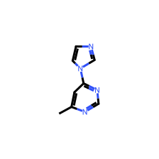 Cc1cc(-n2ccnc2)ncn1